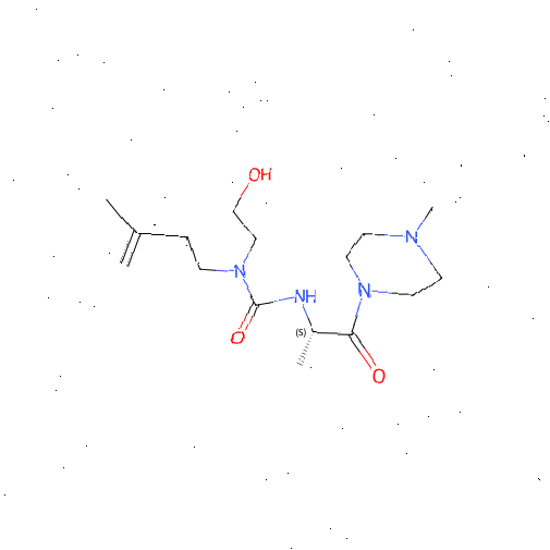 C=C(C)CCN(CCO)C(=O)N[C@@H](C)C(=O)N1CCN(C)CC1